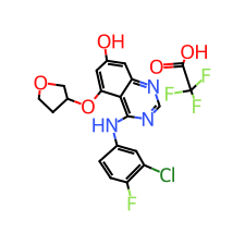 O=C(O)C(F)(F)F.Oc1cc(OC2CCOC2)c2c(Nc3ccc(F)c(Cl)c3)ncnc2c1